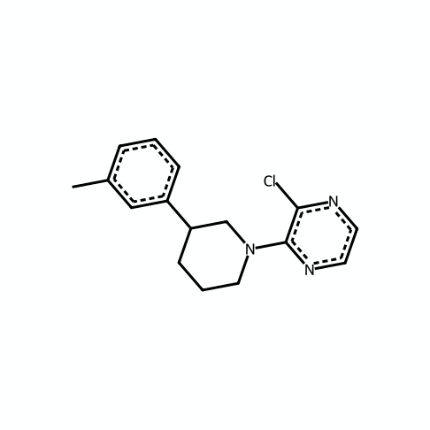 Cc1cccc(C2CCCN(c3nccnc3Cl)C2)c1